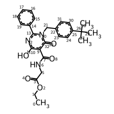 CCOC(=O)CNC(=O)c1c(O)nc(-c2ccccc2)n(Cc2ccc(C(C)(C)C)cc2)c1=O